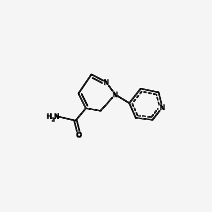 NC(=O)C1=CC=NN(c2ccncc2)C1